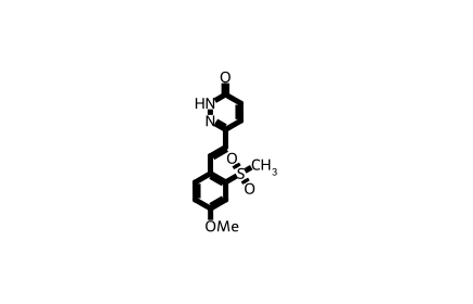 COc1ccc(C=Cc2ccc(=O)[nH]n2)c(S(C)(=O)=O)c1